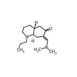 CCCN1CCC[C@@H]2CC(=O)/C(=C/N(C)C)C[C@H]21